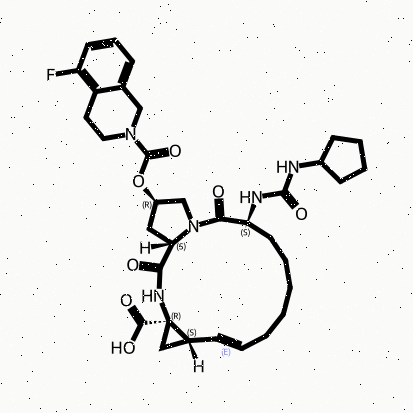 O=C(NC1CCCC1)N[C@H]1CCCCC/C=C/[C@@H]2C[C@@]2(C(=O)O)NC(=O)[C@@H]2C[C@@H](OC(=O)N3CCc4c(F)cccc4C3)CN2C1=O